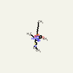 CCCCCCCCCCCCS(=O)(=O)Nc1ccc(OC)cc1-c1nnc2/c(=C\c3ccc(N(CC)CCCC)s3)c(NC(=O)CCCC)nn12